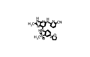 Cc1nc2c(Nc3ccc([C@H]4CCCO4)cc3S(C)(=O)=O)cc(Nc3cccc(C#N)n3)nc2[nH]1